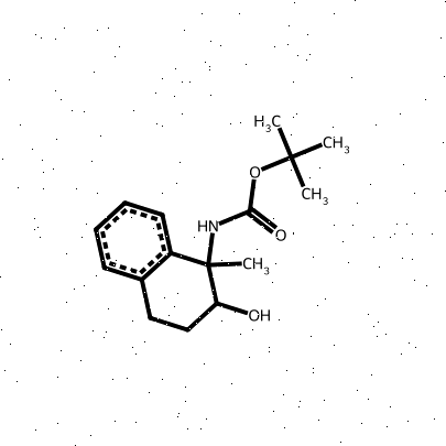 CC(C)(C)OC(=O)NC1(C)c2ccccc2CCC1O